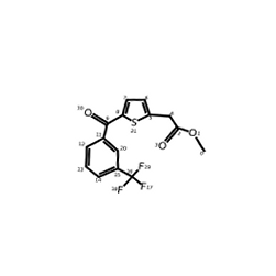 COC(=O)Cc1ccc(C(=O)c2cccc(C(F)(F)F)c2)s1